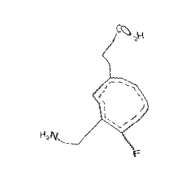 NCc1cc(CC(=O)O)ccc1F